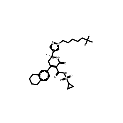 C[C@@]1(c2cnn(CCCCCC(F)(F)F)c2)CC(c2ccc3c(c2)CCCC3)=C(C(=O)NS(=O)(=O)C2CC2)C(=O)N1